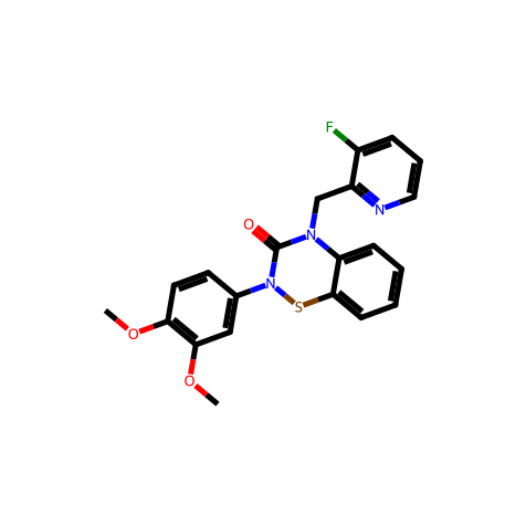 COc1ccc(N2Sc3ccccc3N(Cc3ncccc3F)C2=O)cc1OC